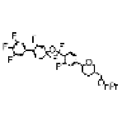 CCCOCC1CCC(c2ccc(C(F)(F)OC3(C)C=C(F)C(c4cc(F)c(F)c(F)c4)=CC3)c(F)c2)OC1